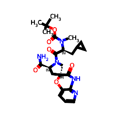 CN(C(=O)OC(C)(C)C)[C@@H](CC1CC1)C(=O)N1C[C@@]2(C[C@H]1C(N)=O)Oc1cccnc1NC2=O